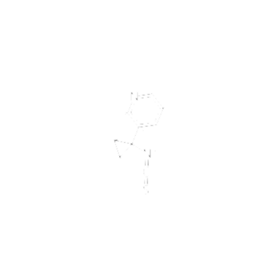 S=C=NC1(c2cccnc2)CC1